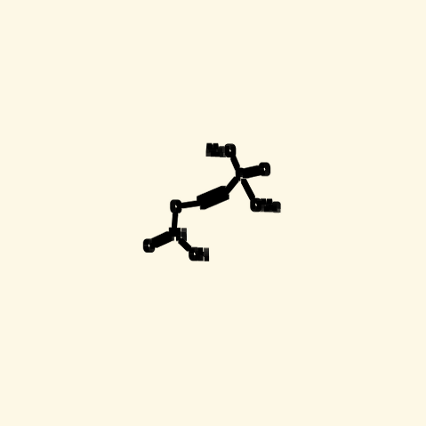 COP(=O)(C#CO[PH](=O)O)OC